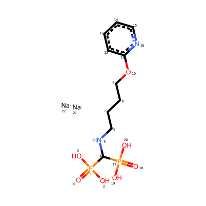 O=P(O)(O)C(NCCCCOc1ccccn1)P(=O)(O)O.[Na].[Na]